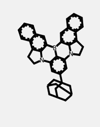 c1ccc2c3c4c(cc2c1)B1c2cc5ccccc5c5c2N(CC5)c2cc(C56CC7CC(CC(C7)C5)C6)cc(c21)N4CC3